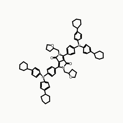 O=C1C2=C(c3ccc(N(c4ccc(C5CCCCC5)cc4)c4ccc(C5CCCCC5)cc4)cc3)N(CC3CCCO3)C(=O)C2=C(c2ccc(N(c3ccc(C4CCCCC4)cc3)c3ccc(C4CCCCC4)cc3)cc2)N1CC1CCCO1